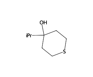 CC(C)C1(O)CCSCC1